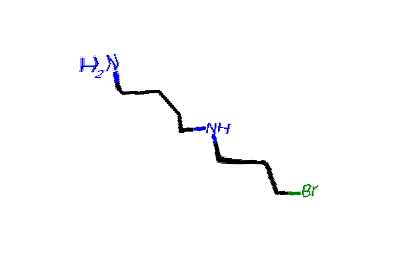 NCCCNCCCBr